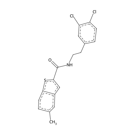 Cc1ccc2sc(C(=O)NCCc3ccc(Cl)c(Cl)c3)cc2c1